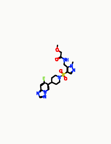 COCC(=O)NCc1c(S(=O)(=O)N2CCC(c3cn4ncnc4cc3F)CC2)cnn1C